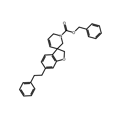 O=C(OCc1ccccc1)N1CC=CC2(COc3cc(CCc4ccccc4)ccc32)C1